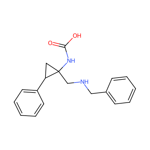 O=C(O)NC1(CNCc2ccccc2)CC1c1ccccc1